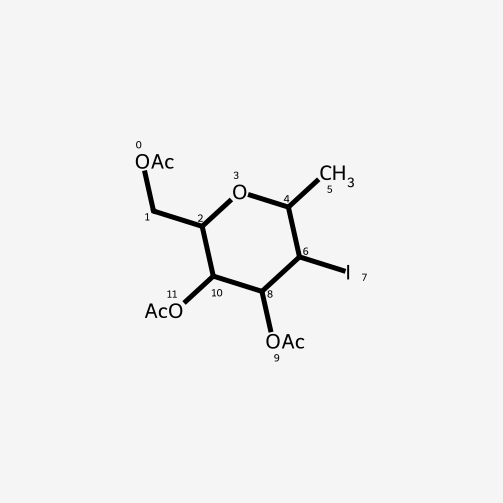 CC(=O)OCC1OC(C)C(I)C(OC(C)=O)C1OC(C)=O